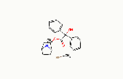 CBr.CN1C2CCC1C(OC(=O)C(O)(c1ccccc1)c1ccccc1)C2